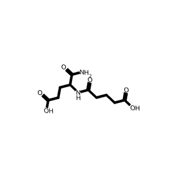 NC(=O)C(CCC(=O)O)NC(=O)CCCC(=O)O